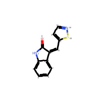 O=C1Nc2ccccc2C1=Cc1ccns1